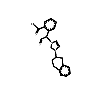 O=C(O)c1ccccc1C(C=S)N1C=CN(C2CCc3ccccc3C2)C1